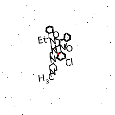 CC[C@H](NC(=O)c1c(CN2CCN(C3CCN(C)CC3)CC2)n(-c2cccc(Cl)c2)c(=O)c2ccccc12)c1ccccc1